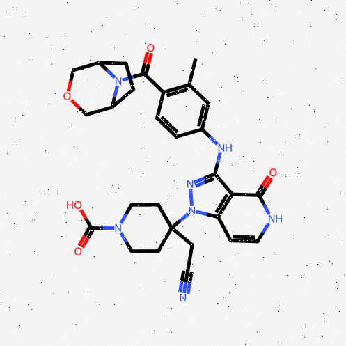 Cc1cc(Nc2nn(C3(CC#N)CCN(C(=O)O)CC3)c3cc[nH]c(=O)c23)ccc1C(=O)N1C2CCC1COC2